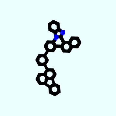 c1cc(-c2ccc3c(c2)c2ccc4ccccc4c2c2nc4ccccc4n32)cc(-c2ccc3c4c(cccc24)-c2ccccc2-3)c1